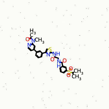 CC(=O)N(C)c1cc(-c2cccc(-c3csc(NC(=O)CNC(=O)c4cccc(S(=O)(=O)C(C)C)c4)n3)c2)ccn1